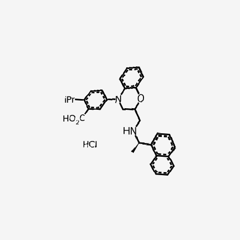 CC(C)c1ccc(N2CC(CN[C@H](C)c3cccc4ccccc34)Oc3ccccc32)cc1C(=O)O.Cl